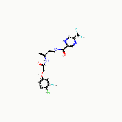 C=C(CCNC(=O)c1cnc(C(F)F)cn1)NC(=O)COc1ccc(Cl)c(F)c1